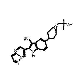 CC(C)c1c(-c2cnc3ccnn3c2)[nH]c2ccc(C3CCN(CC(C)(C)O)CC3)cc12